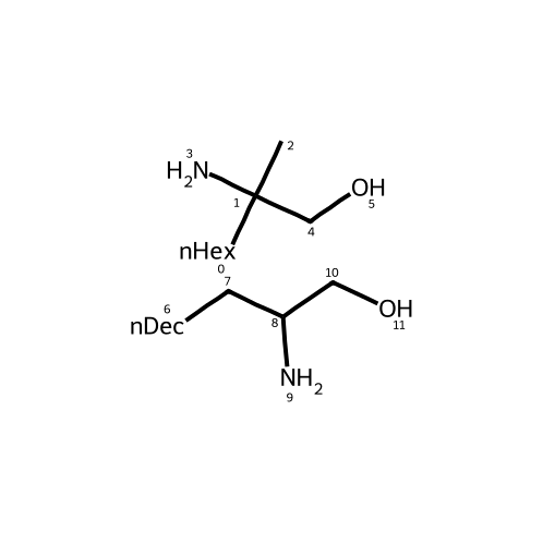 CCCCCCC(C)(N)CO.CCCCCCCCCCCC(N)CO